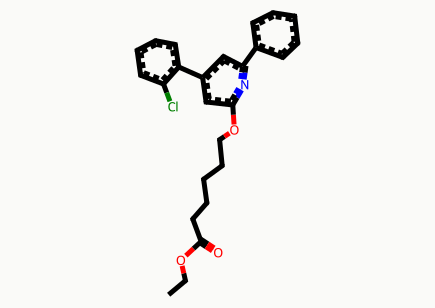 CCOC(=O)CCCCCOc1cc(-c2ccccc2Cl)cc(-c2ccccc2)n1